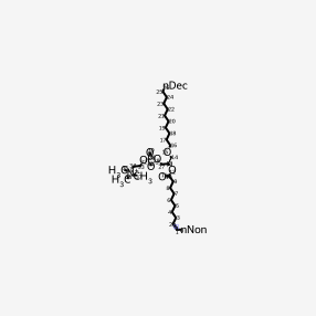 CCCCCCCCC/C=C\CCCCCCCC(=O)O[C@H](COCCCCCCCCCCCCCCCCCCCC)COP(=O)([O-])OCC[N+](C)(C)C